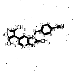 Cc1noc(C)c1-c1cnc2nc(C)n(Cc3ccc(C#N)cc3)c2c1